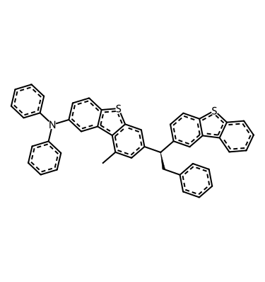 Cc1cc([C@H](Cc2ccccc2)c2ccc3sc4ccccc4c3c2)cc2sc3ccc(N(c4ccccc4)c4ccccc4)cc3c12